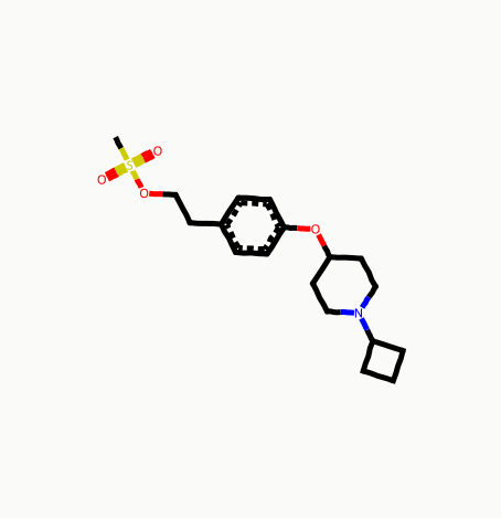 CS(=O)(=O)OCCc1ccc(OC2CCN(C3CCC3)CC2)cc1